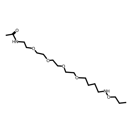 CCCONCCCCOCCOCCOCCOCCNC(C)=O